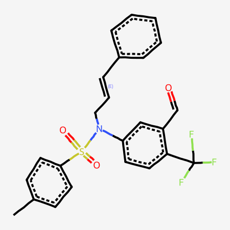 Cc1ccc(S(=O)(=O)N(C/C=C/c2ccccc2)c2ccc(C(F)(F)F)c(C=O)c2)cc1